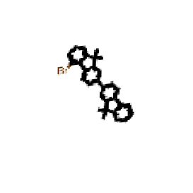 CC1(C)c2ccccc2-c2ccc(-c3ccc4c(c3)C(C)(C)c3cccc(Br)c3-4)cc21